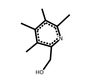 Cc1nc(CO)c(C)c(C)c1C